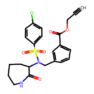 C#CCOC(=O)c1cccc(CN(C2CCCCNC2=O)S(=O)(=O)c2ccc(Cl)cc2)c1